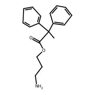 CC(C(=O)OCCCN)(c1ccccc1)c1ccccc1